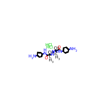 CC(C)(N=NC(C)(C)C(=O)Nc1ccc(N)cc1)C(=O)Nc1ccc(N)cc1.Cl.Cl